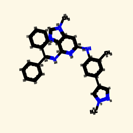 Cc1cc(-c2cnn(C)c2)ccc1Nc1cc2c(ncn2C)c(N=C(c2ccccc2)c2ccccc2)n1